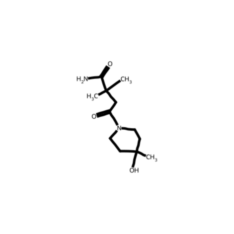 CC1(O)CCN(C(=O)CC(C)(C)C(N)=O)CC1